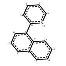 [c]1ccnc(-c2cccc3ccccc23)c1